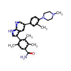 Cc1cc(-c2cnc3[nH]cc(-c4c(C)cc(C(N)=O)c(C)c4C)c3c2)ccc1N1CCN(C)CC1